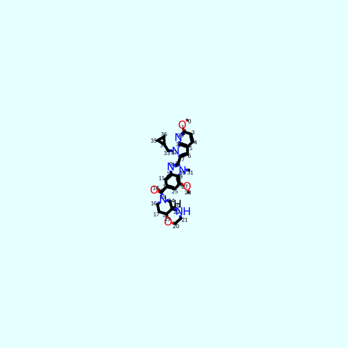 COc1ccc2cc(-c3nc4cc(C(=O)N5CCC6OCCN[C@H]6C5)cc(OC)c4n3C)n(CC3CC3)c2n1